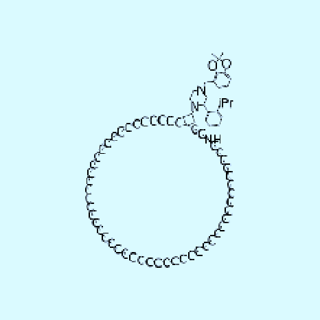 CC(C)c1ccccc1C1CN(Cc2cccc3c2OC(C)(C)O3)CCN1C1CC2(CCCCCCCCCCCCCCCCCCCCCCCCCCCCCCCCCCCCCCCCCCCCCCCCNCC2)C1